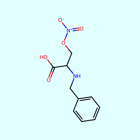 O=C(O)C(CO[N+](=O)[O-])NCc1ccccc1